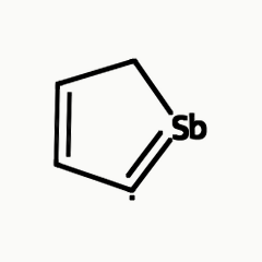 [C]1=[Sb][CH2]C=C1